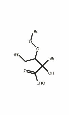 CCCCC(O)(C(=O)C=O)C(C[C](C)C)OOC(C)(C)C